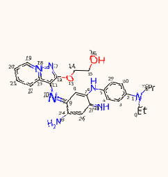 CCN(c1ccc(NC2=CC(=Nc3c(OCCO)nn4ccccc34)C(N)=CC2=N)cc1)C(C)C